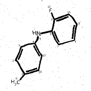 Cc1ccc(Nc2ccccc2F)cc1